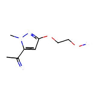 CC(=N)c1cc(OCCON)nn1C